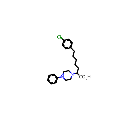 O=C(O)C(CCCCCc1ccc(Cl)cc1)N1CCN(c2ccccc2)CC1